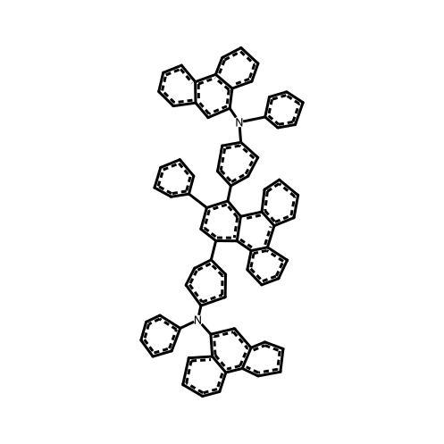 c1ccc(-c2cc(-c3ccc(N(c4ccccc4)c4cc5ccccc5c5ccccc45)cc3)c3c4ccccc4c4ccccc4c3c2-c2ccc(N(c3ccccc3)c3cc4ccccc4c4ccccc34)cc2)cc1